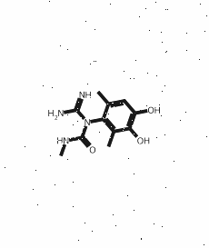 CNC(=O)N(C(=N)N)c1c(C)cc(O)c(O)c1C